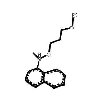 CCOCCCO[SiH](C)c1cccc2ccccc12